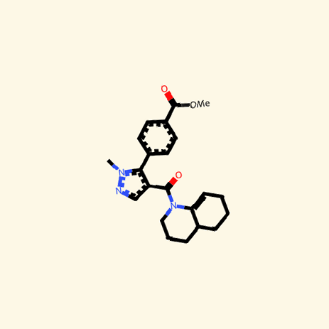 COC(=O)c1ccc(-c2c(C(=O)N3CCCC4CCCC=C43)cnn2C)cc1